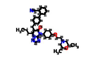 CCCc1c(Cc2ccc(-c3ccccc3C#N)cc2)c(=O)n(C2CCC(OCCN3C[C@@H](C)O[C@@H](C)C3)CC2)c2ncnn12